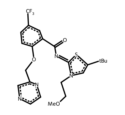 COCCn1cc(C(C)(C)C)sc1=NC(=O)c1cc(C(F)(F)F)ccc1OCc1cnccn1